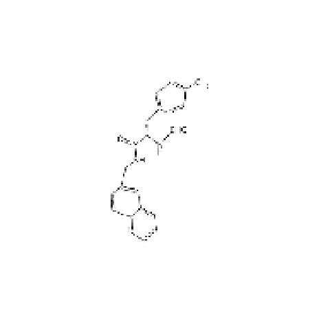 Cc1ccc(C[C@H](NC=O)C(=O)NCc2ccc3ccccc3c2)cc1